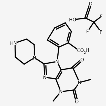 Cn1c(=O)c2c(nc(N3CCNCC3)n2-c2ccccc2C(=O)O)n(C)c1=O.O=C(O)C(F)(F)F